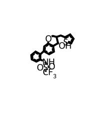 O=S(=O)(Nc1ccccc1-c1ccc2c(c1)OCC(Cc1cccs1)C2O)C(F)(F)F